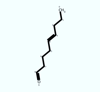 CCC/C=C/CCC[C]=O